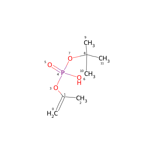 C=C(C)OP(=O)(O)OC(C)(C)C